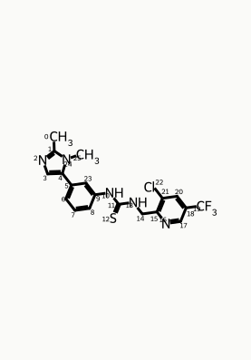 Cc1ncc(-c2cccc(NC(=S)NCc3ncc(C(F)(F)F)cc3Cl)c2)n1C